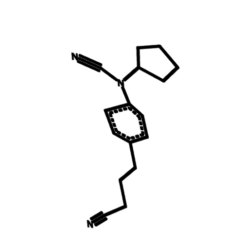 N#CCCCc1ccc(N(C#N)C2CCCC2)cc1